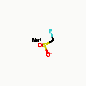 O=S([O-])CF.[Na+]